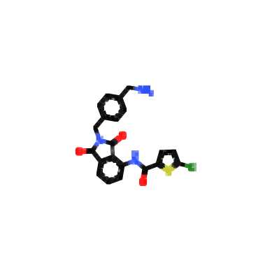 NCc1ccc(CN2C(=O)c3cccc(NC(=O)c4ccc(Cl)s4)c3C2=O)cc1